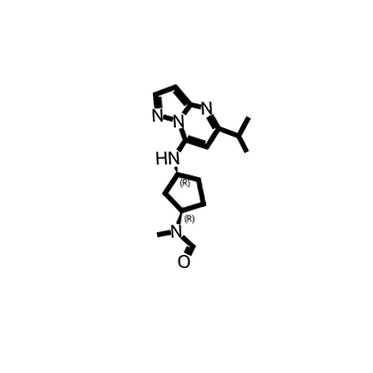 CC(C)c1cc(N[C@@H]2CC[C@@H](N(C)C=O)C2)n2nccc2n1